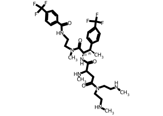 CNCCN(CCNC)C(=O)CC(NC)C(=O)N[C@H](C(=O)N(C)CCNC(=O)c1ccc(C(F)(F)F)cc1)[C@H](C)c1ccc(C(F)(F)F)cc1